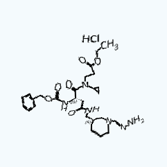 CCOC(=O)CCN(C(=O)[C@H](CC(=O)NC[C@@H]1CCCN(C=NN)C1)NC(=O)OCc1ccccc1)C1CC1.Cl